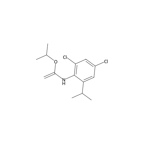 C=C(Nc1c(Cl)cc(Cl)cc1C(C)C)OC(C)C